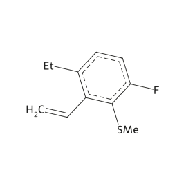 C=Cc1c(CC)ccc(F)c1SC